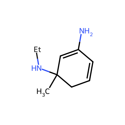 CCNC1(C)C=C(N)C=CC1